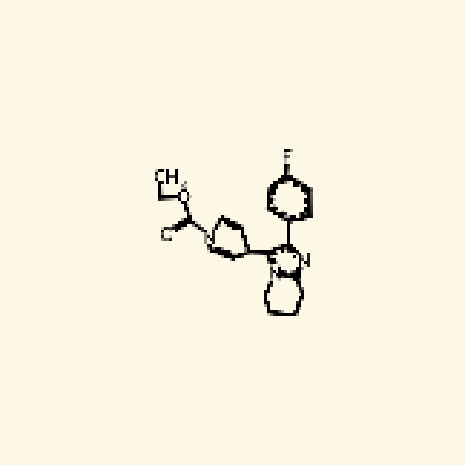 CCOC(=O)N1C=CC(c2c(-c3ccc(F)cc3)nc3n2CCCC3)C=C1